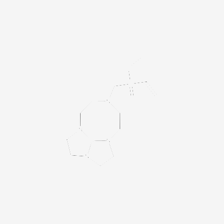 C=CP(=O)(CN1CCN2CCN3CCN(CC1)B23)OC